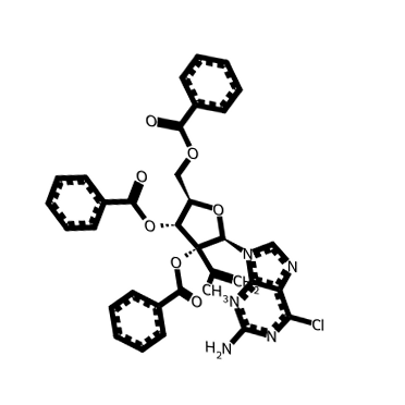 C=C(C)[C@@]1(OC(=O)c2ccccc2)[C@H](OC(=O)c2ccccc2)[C@@H](COC(=O)c2ccccc2)O[C@H]1n1cnc2c(Cl)nc(N)nc21